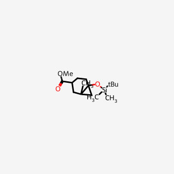 COC(=O)C1CCC2(O[Si](C)(C)C(C)(C)C)CC2(C)C1